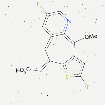 COC1=c2ncc(F)cc2=CC(=CC(=O)O)c2sc(F)cc21